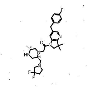 C[C@@H]1CN(CC(=O)N2CC(C)(C)c3ncc(Cc4ccc(F)cc4)cc32)[C@@H](CN2CCC(F)(F)C2)CN1